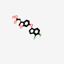 O=C(O)C[C@@H]1COc2cc(O[C@@H]3CCc4c3ccc(F)c4F)ccc21